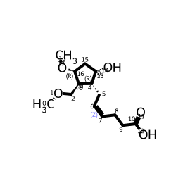 COC[C@@H]1[C@@H](C/C=C\CCC(=O)O)[C@@H](O)C[C@H]1OC